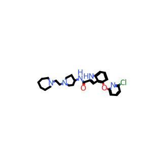 O=C(NC1CCN(CCN2CCCCCC2)CC1)c1cc2c(Oc3cccc(Cl)n3)cccc2[nH]1